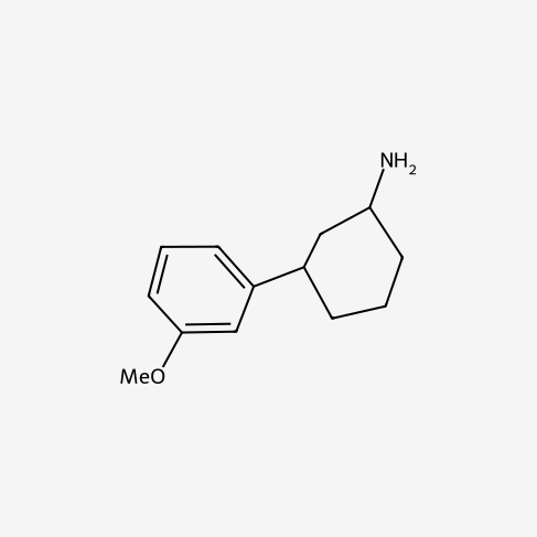 COc1cccc(C2CCCC(N)C2)c1